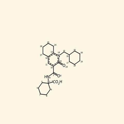 O=C(NC1(C(=O)O)CCCCC1)c1cc2c(n(CC3CCCCC3)c1=O)CCCC2